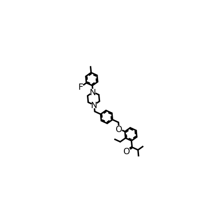 CCc1c(OCc2ccc(CN3CCN(c4ccc(C)cc4F)CC3)cc2)cccc1C(=O)C(C)C